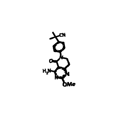 COc1nc(N)c2c(n1)CCN(c1ccc(C(C)(C)C#N)cc1)C2=O